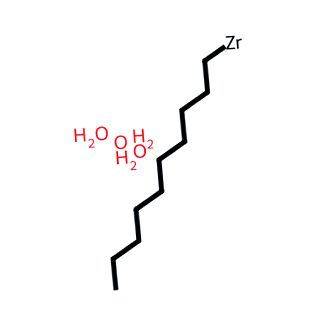 CCCCCCCCC[CH2][Zr].O.O.O